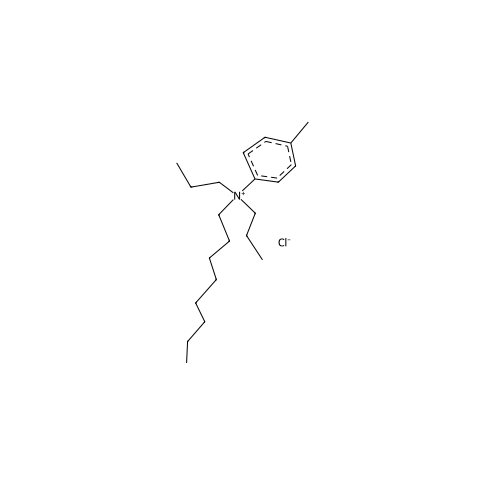 CCCCCCCC[N+](CCC)(CCC)c1ccc(C)cc1.[Cl-]